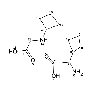 NC(C(=O)O)C1CCC1.O=C(O)CNC1CCC1